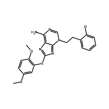 COc1ccc(OC)c(Sc2nc3c(N)ncn(CCc4ccccc4Cl)c-3n2)c1